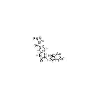 CN(C(=O)NCc1cc2cc(Cl)ccc2[nH]1)C1CCCN(C(=O)C2CCC2F)C1